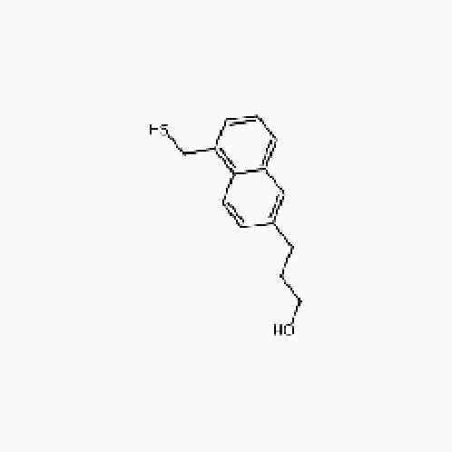 OCCCc1ccc2c(CS)cccc2c1